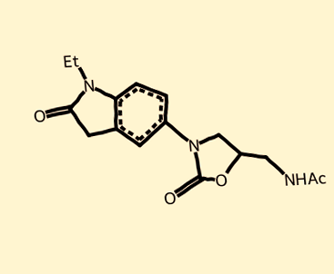 CCN1C(=O)Cc2cc(N3CC(CNC(C)=O)OC3=O)ccc21